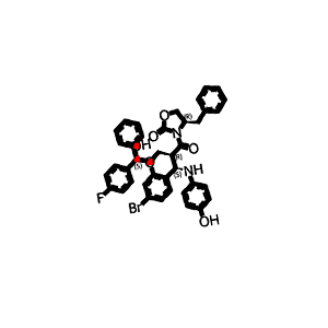 O=C1OC[C@@H](Cc2ccccc2)N1C(=O)[C@H](CC[C@H](O)c1ccc(F)cc1)[C@H](Nc1ccc(O)cc1)c1ccc(Br)cc1OCc1ccccc1